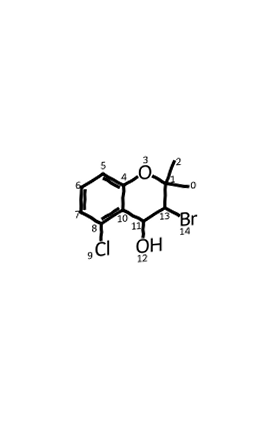 CC1(C)Oc2cccc(Cl)c2C(O)C1Br